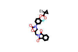 CCC1(C(=O)Oc2ccc(N3CC(CN4C(=O)c5ccccc5C4=O)OC3=O)cc2F)CC1